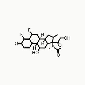 CC(=O)O[C@]1(C(=O)CO)C(C)C[C@H]2[C@@H]3CC(F)C4=C(F)C(=O)C=C[C@]4(C)[C@H]3C(O)C[C@@]21C